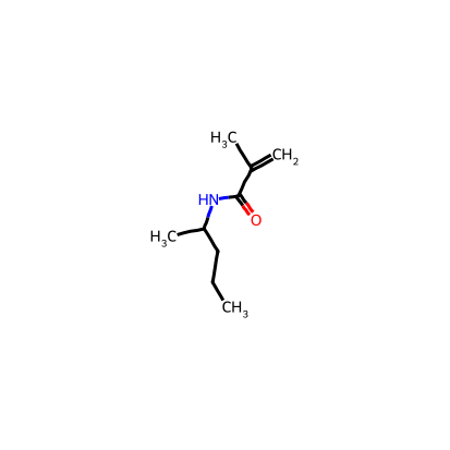 C=C(C)C(=O)NC(C)CCC